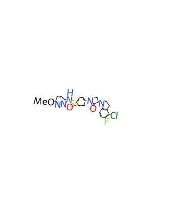 COc1ccc(N[S+]([O-])c2ccc(N3CC[C@H](N4CCc5c4ccc(F)c5Cl)C3=O)cc2)nn1